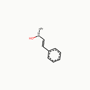 CCC[SiH](O)C=Cc1ccccc1